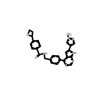 Cn1cc(-c2cc3c(-c4ccc(CNC(=O)c5ccc(C6CCO6)cc5)cc4)ncnc3[nH]2)cn1